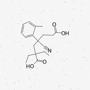 CCC(CC)(CC(C#N)(CCC(=O)O)c1ccccc1C)C(=O)O